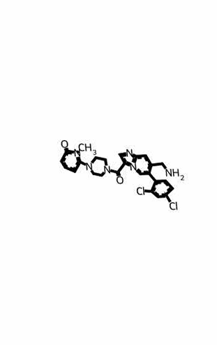 Cn1c(N2CCN(C(=O)c3cnc4cc(CN)c(-c5ccc(Cl)cc5Cl)cn34)CC2)cccc1=O